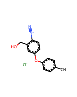 N#Cc1ccc(Oc2ccc([N+]#N)c(CO)c2)cc1.[Cl-]